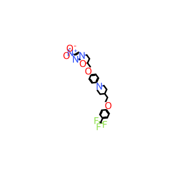 O=[N+]([O-])c1cn2c(n1)OC(COc1ccc(N3CCC(CCOc4ccc(C(F)(F)F)cc4)CC3)cc1)CC2